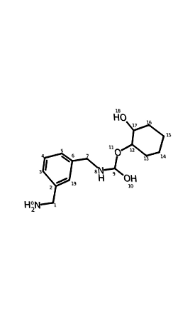 NCc1cccc(CNC(O)OC2CCCCC2O)c1